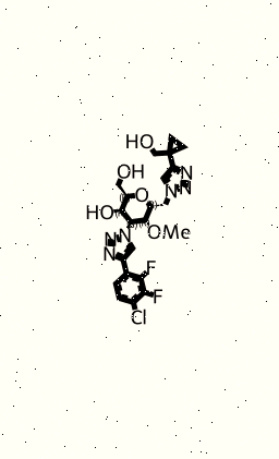 CO[C@@H]1[C@@H](n2cc(-c3ccc(Cl)c(F)c3F)nn2)[C@@H](O)[C@@H](CO)O[C@@H]1Cn1cc(C2(CO)CC2)nn1